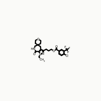 CCn1nc(CCCOC(=O)c2ccc(Cl)c(C(F)(F)F)c2)c2c1C(=O)NCC1(CCOCC1)C2